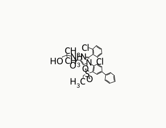 CCS(=O)(=O)c1cc(-c2ccccc2)ccc1-n1cc(C(=O)NC(C)(C)CO)nc1-c1c(Cl)cccc1Cl